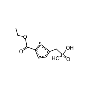 CCOC(=O)c1ccc(CP(=O)(O)O)s1